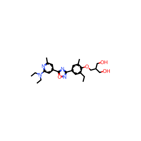 CCc1cc(-c2noc(-c3cc(C)nc(N(CC)CC)c3)n2)cc(C)c1OCC(CO)CO